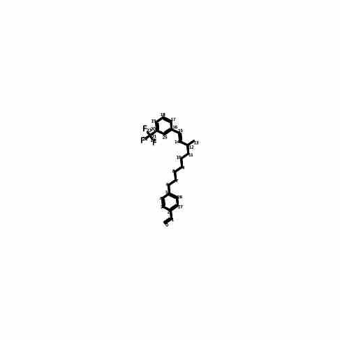 C=Cc1ccc(CCCCCCC(C)/C=C/c2cccc(C(F)(F)F)c2)cc1